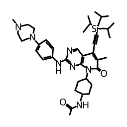 CC(=O)NC1CCC(n2c(=O)c(C)c(C#C[Si](C(C)C)(C(C)C)C(C)C)c3cnc(Nc4ccc(N5CCN(C)CC5)cc4)nc32)CC1